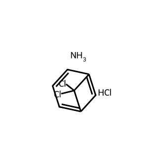 Cl.ClC1(Cl)c2cccc1c2.N